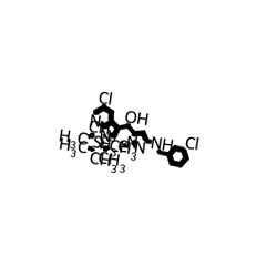 CC(C)[Si](C(C)C)(C(C)C)n1cc(C(O)c2cc(NCc3cccc(Cl)c3)nn2C)c2cc(Cl)cnc21